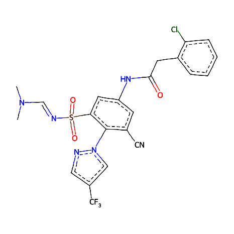 CN(C)C=NS(=O)(=O)c1cc(NC(=O)Cc2ccccc2Cl)cc(C#N)c1-n1cc(C(F)(F)F)cn1